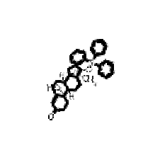 C[C@]12CC[C@H]3[C@@H](CCC4=CC(=O)CC[C@@]43CO)[C@@H]1CC[C@@H]2O[Si](c1ccccc1)(c1ccccc1)c1ccccc1